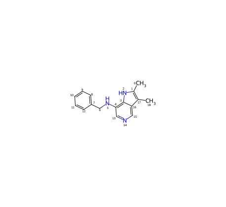 Cc1[nH]c2c(NCc3ccccc3)cncc2c1C